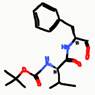 CC(C)[C@H](NC(=O)OC(C)(C)C)C(=O)N[C@H]([C]=O)Cc1ccccc1